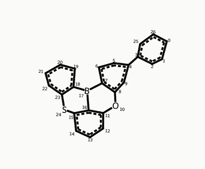 c1ccc(-c2ccc3c(c2)Oc2cccc4c2B3c2ccccc2S4)cc1